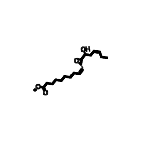 CC/C=C\C[C@H](O)[C@@H]1O[C@H]1/C=C\CCCCCCCC(=O)OC